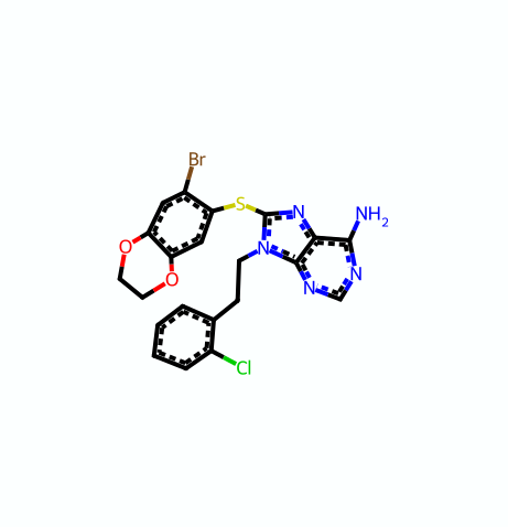 Nc1ncnc2c1nc(Sc1cc3c(cc1Br)OCCO3)n2CCc1ccccc1Cl